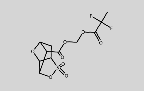 CC(F)(F)C(=O)OCOC(=O)C1C2CC3C(O2)C1OS3(=O)=O